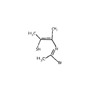 C/C(S)=C(C)/N=C(\C)Br